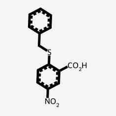 O=C(O)c1cc([N+](=O)[O-])ccc1SCc1ccccc1